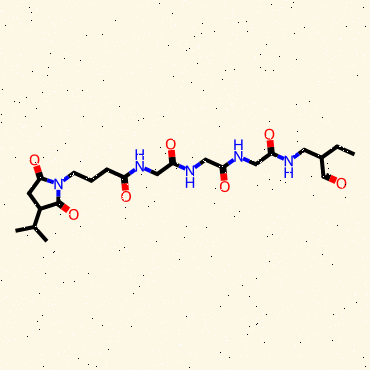 CCC(C=O)CNC(=O)CNC(=O)CNC(=O)CNC(=O)CCCN1C(=O)CC(C(C)C)C1=O